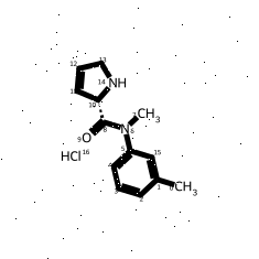 Cc1cccc(N(C)C(=O)[C@@H]2C=CCN2)c1.Cl